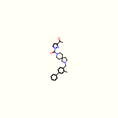 CC(=O)c1ccn(C(=O)N2CCC3(CCN(Cc4ccc(-c5ccccc5)cc4C)C3)CC2)n1